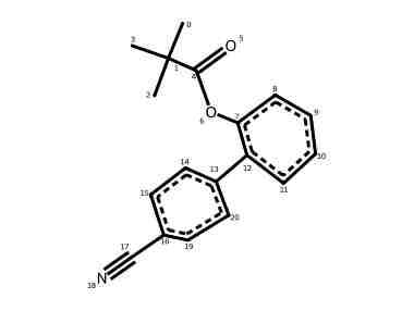 CC(C)(C)C(=O)Oc1ccccc1-c1ccc(C#N)cc1